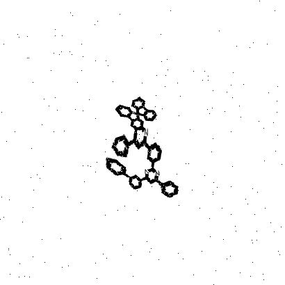 c1ccc(-c2cccc(-c3cc(-c4ccccc4)nc(-c4cccc(-c5cc(-c6ccccc6)c6cc7c(cc6n5)C5(c6ccccc6-c6ccccc65)c5ccccc5-7)c4)n3)c2)cc1